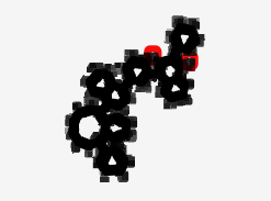 c1ccc(-c2ccccccc(-c3ccc(-c4ccc5oc6c(c5c4)c4ccccc4c4oc5ccccc5c46)c4ccccc34)c3ccccc23)cc1